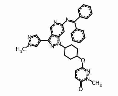 Cn1cc(-c2nn(C3CCC(Oc4ccc(=O)n(C)n4)CC3)c3cc(N=C(c4ccccc4)c4ccccc4)ncc23)cn1